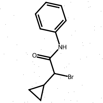 O=C(Nc1ccccc1)C(Br)C1CC1